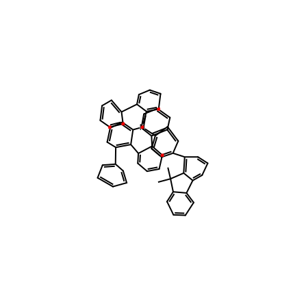 CC1(C)c2ccccc2-c2cccc(-c3ccc(N(c4ccccc4-c4ccccc4)c4cccc(-c5ccccc5)c4-c4ccccc4-c4ccccc4)cc3)c21